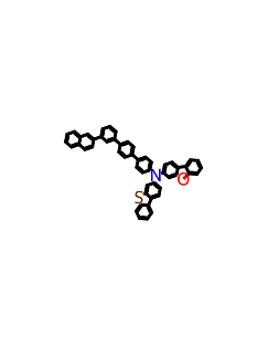 c1cc(-c2ccc(-c3ccc(N(c4ccc5c(c4)oc4ccccc45)c4ccc5c(c4)sc4ccccc45)cc3)cc2)cc(-c2ccc3ccccc3c2)c1